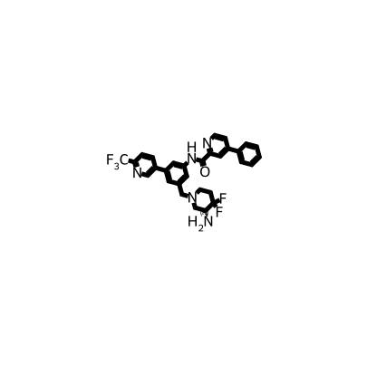 N[C@@H]1CN(Cc2cc(NC(=O)c3cc(-c4ccccc4)ccn3)cc(-c3ccc(C(F)(F)F)nc3)c2)CCC1(F)F